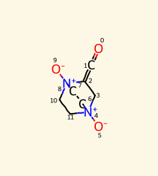 O=C=C1C[N+]2([O-])CC[N+]1([O-])CC2